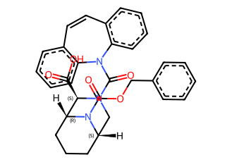 O=C(O)[C@@H]1[C@H]2CCC[C@@H](CN1C(=O)N1c3ccccc3C=Cc3ccccc31)N2C(=O)OCc1ccccc1